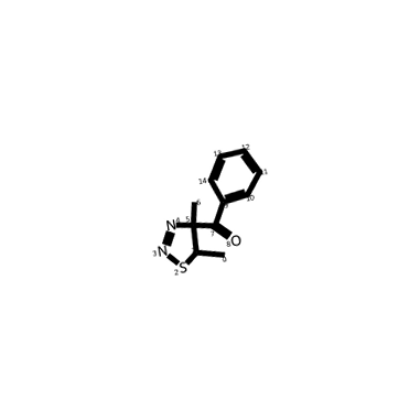 CC1SN=NC1(C)C(=O)c1ccccc1